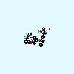 CC(C)(C)N(c1ccccc1)C(C)(C)C.CC(O)C(c1cccc2ccccc12)C(C)(C)C.O=C(Cl)c1ccccc1.O=C(O)C(=O)O.O=C(O)C(=O)OC(=O)c1cccc2ccccc12